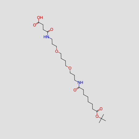 CC(C)(C)OC(=O)CCCCCCC(=O)NCCCOCCCCOCCCNC(=O)CCC(=O)O